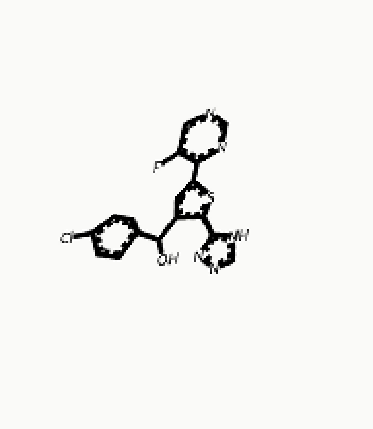 OC(c1ccc(Cl)cc1)c1cc(-c2ncncc2F)sc1-c1nnc[nH]1